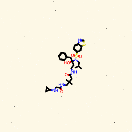 CC(C)CN(C(O)(CCNC(=O)CC(C)(C)CNC(=O)CNC1CC1)Cc1ccccc1)S(=O)(=O)c1ccc2ncsc2c1